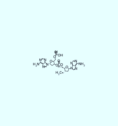 C=C[C@H]1C[C@H](n2cnc3c(N)ncnc32)O[C@@H]1CO[PH](=O)O[C@H]1C[C@H](n2cnc3c(N)ncnc32)OC1CO[PH](=O)O